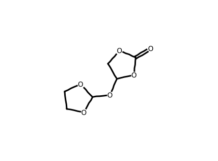 O=C1OCC(OC2OCCO2)O1